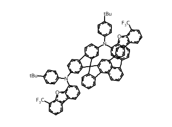 CC(C)(C)c1ccc(N(c2ccc3c(c2)C2(c4cc(N(c5ccc(C(C)(C)C)cc5)c5cccc6c5oc5c(C(F)(F)F)cccc56)ccc4-3)c3ccccc3-c3c2cc2c4c(cccc34)-c3ccccc3-2)c2cccc3c2oc2c(C(F)(F)F)cccc23)cc1